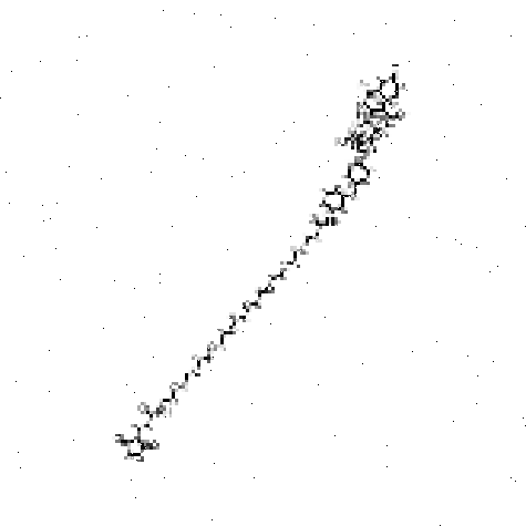 C[C@]12C=CC(=O)C=C1[C@@H](F)CC1[C@@H]3C[C@H]4O[C@@H](c5ccc(Cc6cccc(NC(=O)CCOCCOCCOCCOCCOCCOCCOCCOCCNC(=O)CCN7C(=O)C=CC7=O)c6)cc5)O[C@@]4(C(=O)CO)[C@@]3(C)C[C@H](O)[C@@]12F